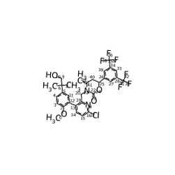 COc1ccc(C(C)(C)CO)cc1-c1ccc(Cl)nc1CN1C(=O)OC(c2cc(C(F)(F)F)cc(C(F)(F)F)c2)C[C@@H]1C